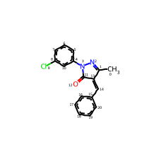 CC1=NN(c2cccc(Cl)c2)C(=O)C1=Cc1ccccc1